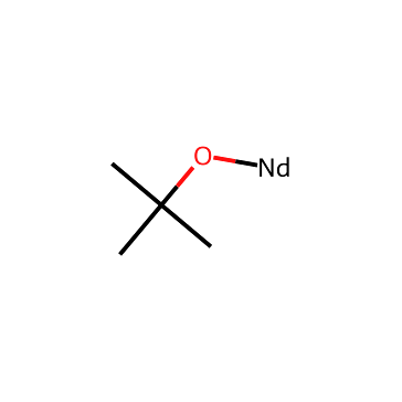 CC(C)(C)[O][Nd]